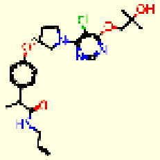 C=CCNC(=O)C(C)c1ccc(O[C@@H]2CCN(c3ncnc(OCC(C)(C)O)c3Cl)C2)cc1